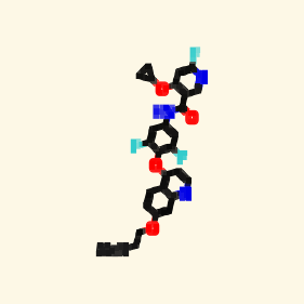 CNCCOc1ccc2c(Oc3c(F)cc(NC(=O)c4cnc(F)cc4OC4CC4)cc3F)ccnc2c1